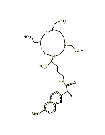 COc1ccc2cc([C@H](C)C(=O)NCCCC(C(=O)O)N3CCN(CC(=O)O)CCN(CC(=O)O)CCN(CC(=O)O)CC3)ccc2c1